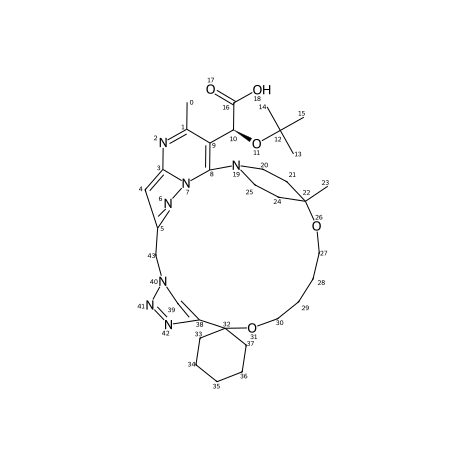 Cc1nc2cc3nn2c(c1[C@H](OC(C)(C)C)C(=O)O)N1CCC(C)(CC1)OCCCCOC1(CCCCC1)c1cn(nn1)C3